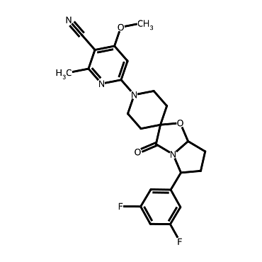 COc1cc(N2CCC3(CC2)OC2CCC(c4cc(F)cc(F)c4)N2C3=O)nc(C)c1C#N